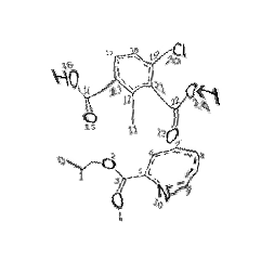 CCOC(=O)c1ccccn1.Cc1c(C(=O)O)ccc(Cl)c1C(=O)O